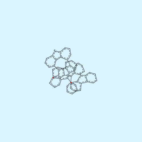 c1ccc(-c2c3ccccc3c(-c3cccc4sc5cccc(-c6c7ccccc7c(-c7cccc8c7sc7ccccc78)c7ccccc67)c5c34)c3ccccc23)cc1